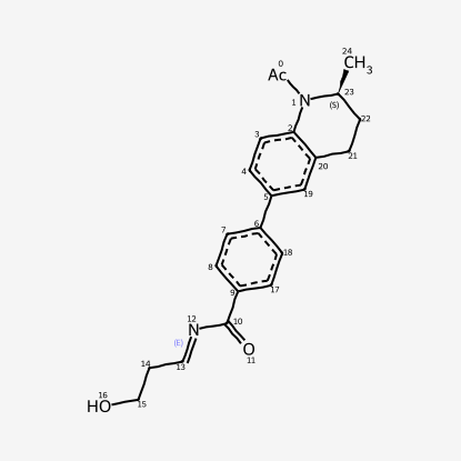 CC(=O)N1c2ccc(-c3ccc(C(=O)/N=C/CCO)cc3)cc2CC[C@@H]1C